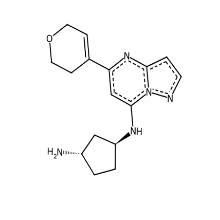 N[C@H]1CC[C@H](Nc2cc(C3=CCOCC3)nc3ccnn23)C1